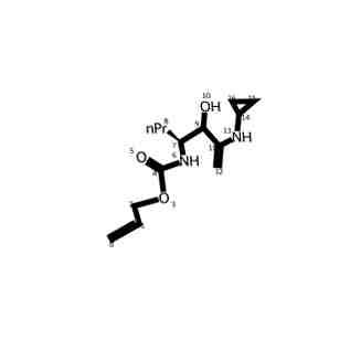 C=CCOC(=O)N[C@@H](CCC)C(O)C(=C)NC1CC1